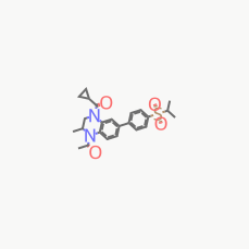 CC(=O)N1c2ccc(-c3ccc(S(=O)(=O)C(C)C)cc3)cc2N(C(=O)C2CC2)CC1C